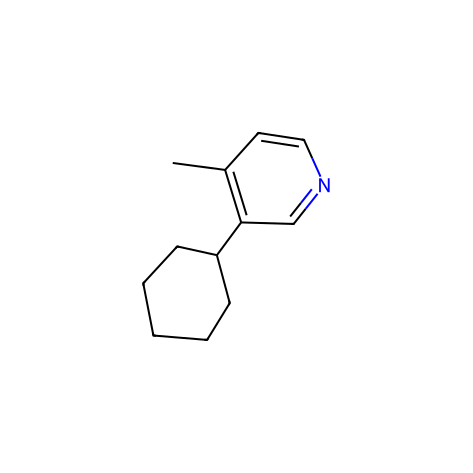 Cc1ccncc1C1CCCCC1